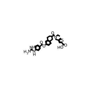 CCN(Cc1csc(C(=O)O)c1)C(=O)C1CCc2cc(OC(=O)c3ccc(NC(=N)N)cc3)ccc2C1